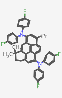 CC(C)c1cc(N(c2ccc(F)cc2)c2ccc(F)cc2)c2cc3c4c(cc(N(c5ccc(F)cc5)c5ccc(F)cc5)c5ccc1c2c54)CCC3(C)C